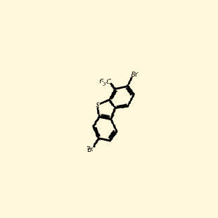 FC(F)(F)c1c(Br)ccc2c1sc1cc(Br)ccc12